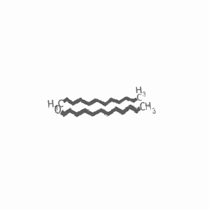 CCCCCCCCCCCC.CCCCCCCCCCCC=O